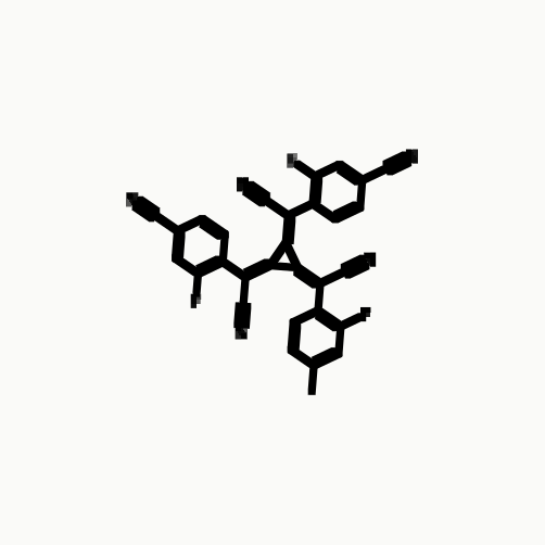 Cc1ccc(/C(C#N)=C2/C(=C(C#N)c3ccc(C#N)cc3F)/C2=C(/C#N)c2ccc(C#N)cc2F)c(F)c1